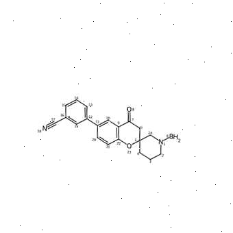 BN1CCCC2(CC(=O)c3cc(-c4cccc(C#N)c4)ccc3O2)C1